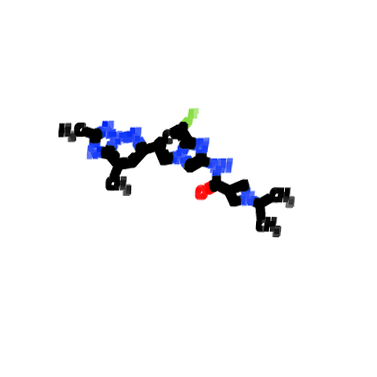 Cc1nc2c(C)cc(-c3cc(F)c4nc(NC(=O)C5CN(C(C)C)C5)cn4c3)nn2n1